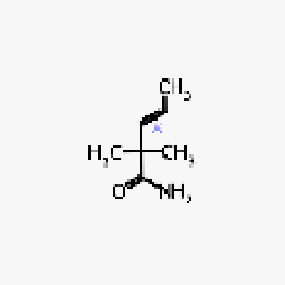 C/C=C/C(C)(C)C(N)=O